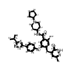 Cc1cc(Cc2cc(F)c(C(=O)NC3CCN(C4CCCC4)CC3)cc2Oc2ccc(-c3nnc(C(C)C)s3)cc2)c(=O)[nH]n1